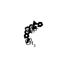 COC(=O)c1ccc(CN2CCC(CN(C(=O)C(F)(F)F)C3CC3c3ccccc3)CC2)c(C#N)c1